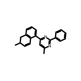 Cc1cc(-c2cccc3c2C=CC(C)C3)nc(-c2ccccc2)n1